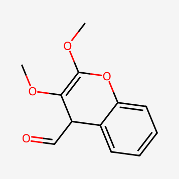 COC1=C(OC)C(C=O)c2ccccc2O1